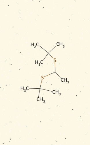 CC(SC(C)(C)C)SC(C)(C)C